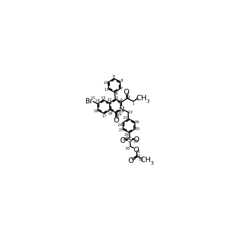 CCC(=O)c1c(-c2ccccc2)c2cc(Br)ccc2c(=O)n1Cc1ccc(S(=O)(=O)COC(C)=O)cc1